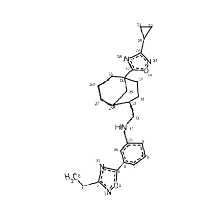 CCc1noc(-c2cccc(NCC3CCC4(c5nc(C6CC6)no5)CCCC3C4)c2)n1